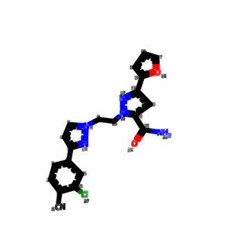 N#Cc1ccc(-c2ccn(CCn3nc(-c4ccco4)cc3C(N)=O)n2)cc1Cl